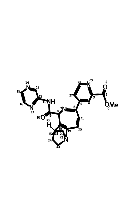 COC(=O)c1cc(C2=NC(C(=O)Nc3cnccn3)C3=C(C=C2)N2CC[C@@H]3C2)ccn1